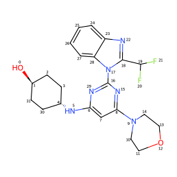 O[C@H]1CC[C@H](Nc2cc(N3CCOCC3)nc(-n3c(C(F)F)nc4ccccc43)n2)CC1